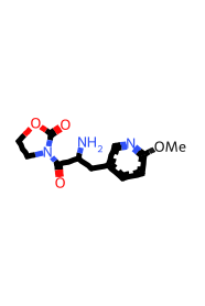 COc1ccc(CC(N)C(=O)N2CCOC2=O)cn1